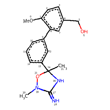 COc1ccc(CO)cc1-c1cccc(C2(C)NC(=N)N(C)O2)c1